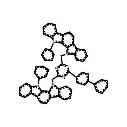 c1ccc(-c2ccc(-c3nc(Cn4c5ccccc5c5ccc6c7ccccc7n(-c7ccccc7)c6c54)nc(Cn4c5ccccc5c5ccc6c7ccccc7n(-c7ccccc7)c6c54)n3)cc2)cc1